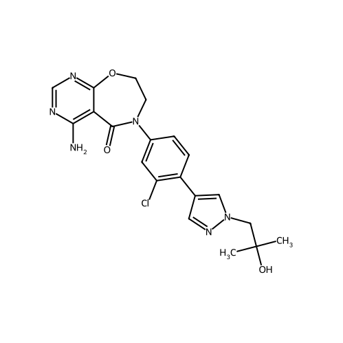 CC(C)(O)Cn1cc(-c2ccc(N3CCOc4ncnc(N)c4C3=O)cc2Cl)cn1